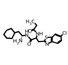 CCC(=O)NC(Cc1nc2ccc(Cl)cc2s1)C(=O)N[C@H](N)CC1CCCCC1